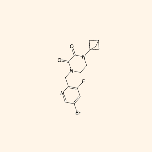 O=C1C(=O)N(C23CC(C2)C3)CCN1Cc1ncc(Br)cc1F